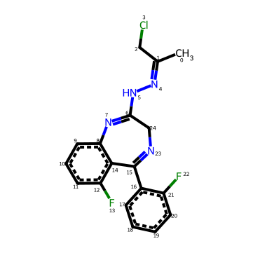 CC(CCl)=NNC1=Nc2cccc(F)c2C(c2ccccc2F)=NC1